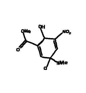 CNC1(Cl)C=C(C(=O)OC)C(O)C([N+](=O)[O-])=C1